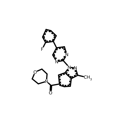 Cc1nn(-c2ncc(-c3ccccc3F)cn2)c2cc(C(=O)N3CCOCC3)ccc12